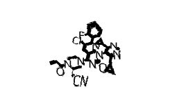 C=CC(=O)N1CCN(c2nc(=O)n(-c3c(C4CC4)ncnc3C3CC3)c3nc(-c4ccccc4F)c(Cl)cc23)C[C@@H]1CC#N